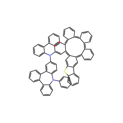 c1ccc(-c2ccccc2N(c2ccc3c(c2)-c2ccccc2-c2ccccc2N3c2ccccc2)c2ccc3c4ccccc4c4ccccc4c4ccccc4c4cc5c(cc4c3c2)sc2ccccc25)cc1